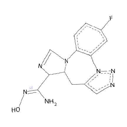 N/C(=N\O)C1N=CN2c3ccc(F)cc3-n3nncc3CC12